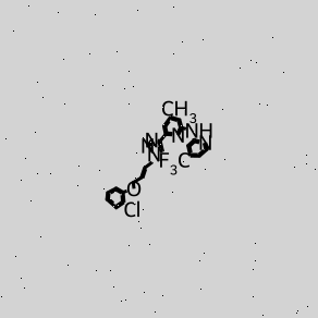 Cc1cc(Nc2cc(C(F)(F)F)ccn2)nc(-c2cn(CC=CCOc3ccccc3Cl)nn2)c1